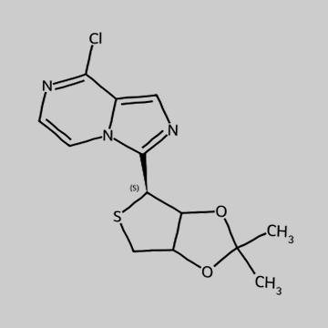 CC1(C)OC2CS[C@@H](c3ncc4c(Cl)nccn34)C2O1